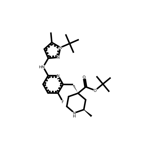 Cc1cc(Nc2ccc(F)c(C[C@@]3(C(=O)OC(C)(C)C)CCN[C@H](C)C3)n2)nn1C(C)(C)C